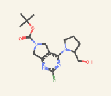 CC(C)(C)OC(=O)N1Cc2nc(Cl)nc(N3CCCC3CO)c2C1